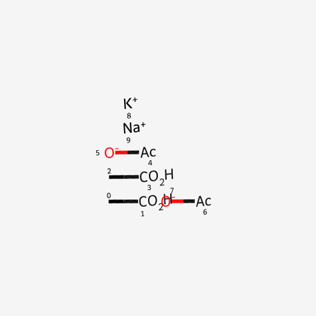 CC(=O)O.CC(=O)O.CC(=O)[O-].CC(=O)[O-].[K+].[Na+]